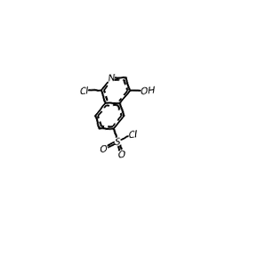 O=S(=O)(Cl)c1ccc2c(Cl)ncc(O)c2c1